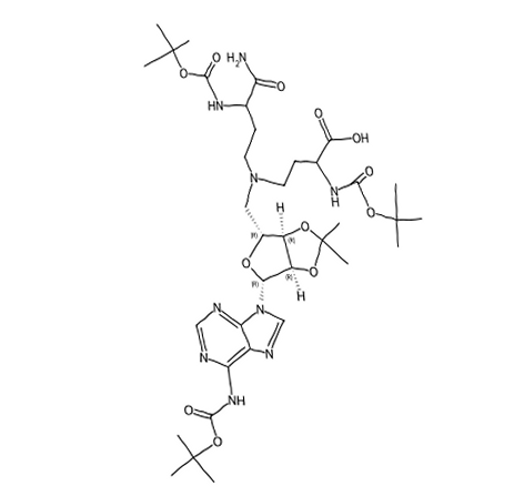 CC(C)(C)OC(=O)Nc1ncnc2c1ncn2[C@@H]1O[C@H](CN(CCC(NC(=O)OC(C)(C)C)C(N)=O)CCC(NC(=O)OC(C)(C)C)C(=O)O)[C@H]2OC(C)(C)O[C@H]21